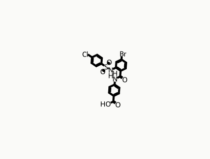 O=C(O)c1ccc(NC(=O)c2ccc(Br)cc2NS(=O)(=O)c2ccc(Cl)cc2)cc1